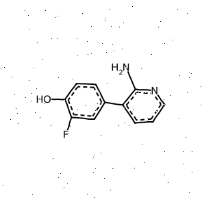 Nc1ncccc1-c1ccc(O)c(F)c1